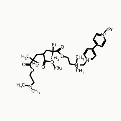 CCCCOC(=O)C(CC(C)(C)C(=O)OCCN(C)C)CC(C)(CC)C(=O)OCC[N+](C)(C)C[n+]1ccc(-c2cc[n+](CCC)cc2)cc1